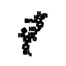 CC/C=C/NC1=C(/C(C)=C/CC)CCN(CC(O)CNC(=O)c2cc(NC3CCC3)nc(N3CCN(C)CC3)n2)C1